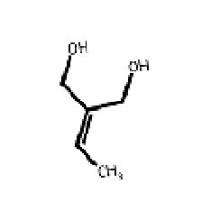 CC=C(CO)CO